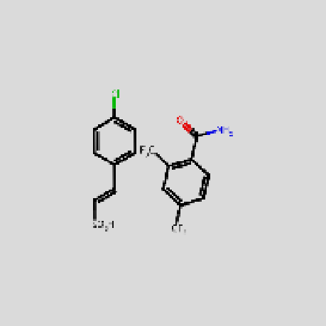 NC(=O)c1ccc(C(F)(F)F)cc1C(F)(F)F.O=S(=O)(O)/C=C/c1ccc(Cl)cc1